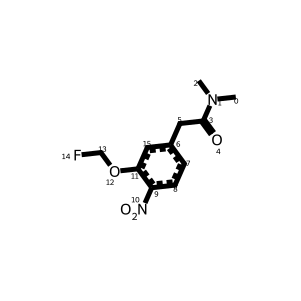 CN(C)C(=O)Cc1ccc([N+](=O)[O-])c(OCF)c1